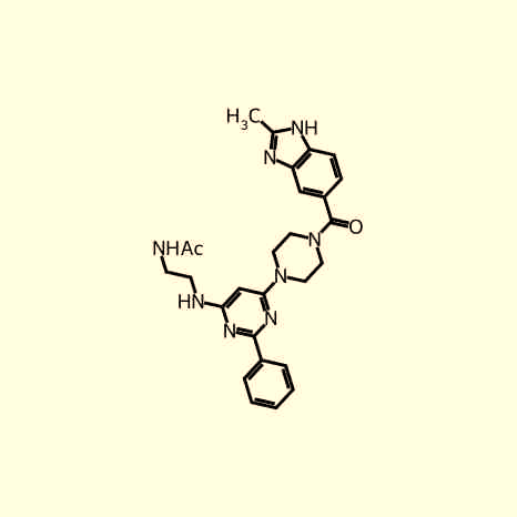 CC(=O)NCCNc1cc(N2CCN(C(=O)c3ccc4[nH]c(C)nc4c3)CC2)nc(-c2ccccc2)n1